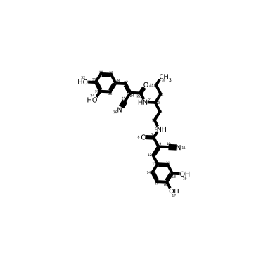 CCCC(CCNC(=O)/C(C#N)=C/c1ccc(O)c(O)c1)NC(=O)/C(C#N)=C/c1ccc(O)c(O)c1